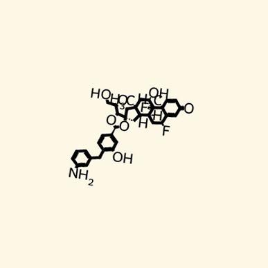 C[C@]12C[C@H](O)[C@@]3(F)[C@@H](C[C@H](F)C4=CC(=O)C=C[C@@]43C)[C@@H]1C[C@]1(C2)O[C@@H](c2ccc(Cc3cccc(N)c3)c(O)c2)OC1C(=O)CO